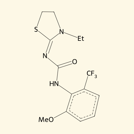 CCN1CCSC1=NC(=O)Nc1c(OC)cccc1C(F)(F)F